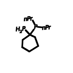 CCCP(CCC)C1(P)CCCCC1